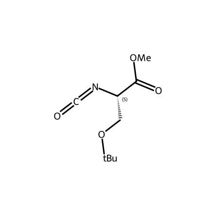 COC(=O)[C@H](COC(C)(C)C)N=C=O